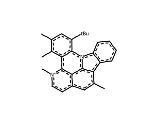 Cc1cc(C(C)(C)C)c2c(c1C)c1c3c(cc[n+]1C)cc(C)c1c4ccccc4n2c13